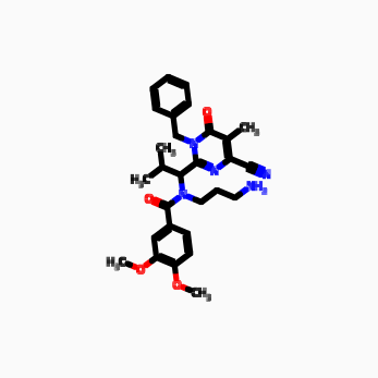 COc1ccc(C(=O)N(CCCN)C(c2nc(C#N)c(C)c(=O)n2Cc2ccccc2)C(C)C)cc1OC